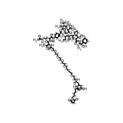 CC[C@H](C)[C@@H]([C@@H](CC(=O)N1CCC[C@H]1[C@H](OC)[C@@H](C)C(=O)N[C@H](C)[C@@H](O)c1ccccc1)OC)N(C)C(=O)[C@@H](NC(=O)[C@H](C(C)C)N(C)C(=O)OCc1ccc(NC(=O)[C@H](CCCNC(N)=O)NC(=O)[C@@H](NC(=O)CCOCCOCCOCCOCCOCCOCCNC(=O)CC(CC(=O)O)NC(=O)CCCCCN2C(=O)C=CC2=O)C(C)C)cc1)C(C)C